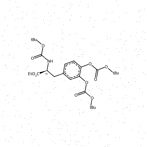 CCOC(=O)[C@H](Cc1ccc(OC(=O)OC(C)(C)C)c(OC(=O)OC(C)(C)C)c1)NC(=O)OC(C)(C)C